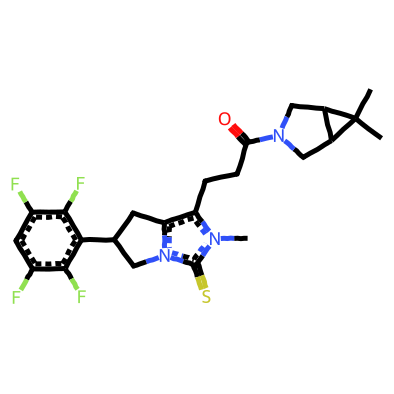 Cn1c(CCC(=O)N2CC3C(C2)C3(C)C)c2n(c1=S)CC(c1c(F)c(F)cc(F)c1F)C2